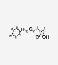 C=C(CCOCOc1ccccc1)C(=O)O